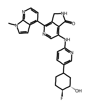 Cn1ccc2c(-c3ncc(Nc4ccc(C5CC[C@H](F)[C@@H](O)C5)cn4)c4c3CNC4=O)ccnc21